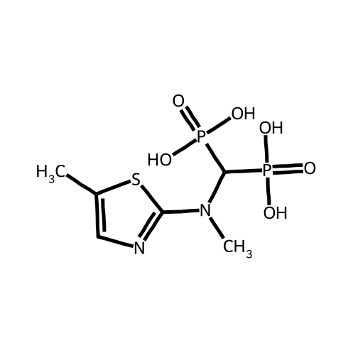 Cc1cnc(N(C)C(P(=O)(O)O)P(=O)(O)O)s1